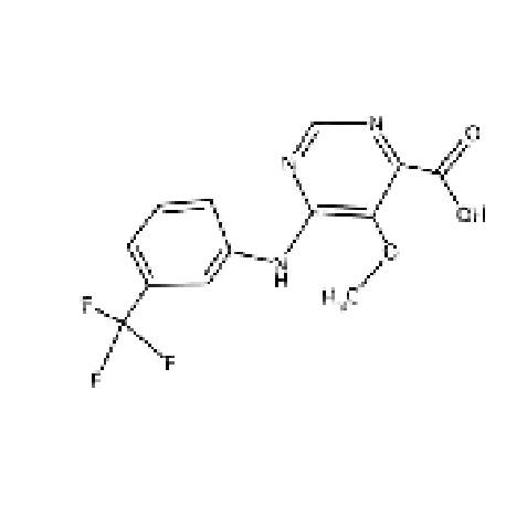 COc1c(Nc2cccc(C(F)(F)F)c2)ncnc1C(=O)O